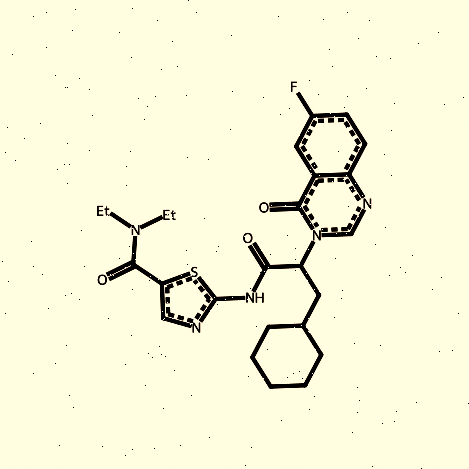 CCN(CC)C(=O)c1cnc(NC(=O)C(CC2CCCCC2)n2cnc3ccc(F)cc3c2=O)s1